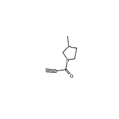 C#CC(=O)N1CCC(C)C1